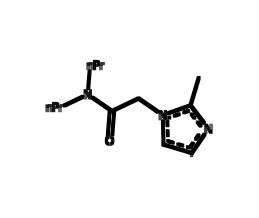 CCCN(CCC)C(=O)Cn1c[c]nc1C